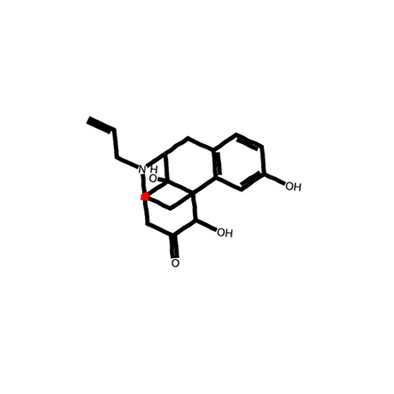 C=CCN1CCC23c4cc(O)ccc4CC1C2(O)CCC(=O)C3O